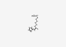 CCCCCCCCCCCCCC/C(C)=C\c1ccco1